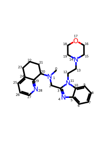 CN(Cc1nc2ccccc2n1CCN1CCOCC1)C1CCCc2cccnc21